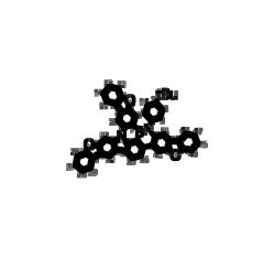 CC(C)(C)c1ccc(N2B3c4cc5oc6ccccc6c5cc4-n4c5cc6oc7ccccc7c6cc5c5ccc(c3c54)-c3cc4oc5ccccc5c4cc32)cc1